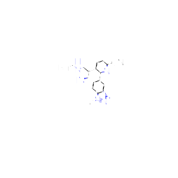 Cn1nnc2cc(-c3nc(C#N)ccc3/C(C=N)=C/NCC(C)(C)C)ccc21